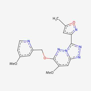 COc1ccnc(COc2nn3c(-c4cc(C)on4)nnc3cc2OC)c1